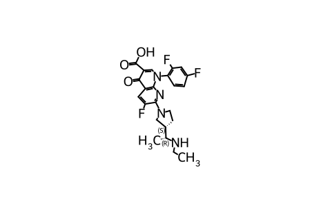 CCN[C@H](C)[C@H]1CCN(c2nc3c(cc2F)c(=O)c(C(=O)O)cn3-c2ccc(F)cc2F)C1